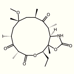 CC[C@H]1OC(=O)[C@H](C)C(=O)[C@H](I)C[C@](C)(OC)C[C@@H](C)C(=O)[C@H](C)[C@H]2NC(=O)O[C@@]21C